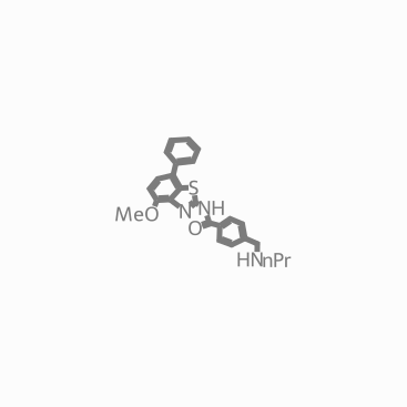 CCCNCc1ccc(C(=O)Nc2nc3c(OC)ccc(-c4ccccc4)c3s2)cc1